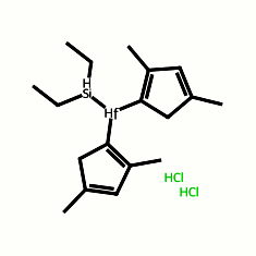 CC[SiH](CC)[Hf]([C]1=C(C)C=C(C)C1)[C]1=C(C)C=C(C)C1.Cl.Cl